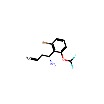 C=CC[C@@H](N)c1c(Br)cccc1OC(F)F